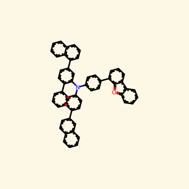 c1ccc(-c2ccc(-c3cccc4ccccc34)cc2N(c2ccc(-c3ccc4ccccc4c3)cc2)c2ccc(-c3cccc4c3oc3ccccc34)cc2)cc1